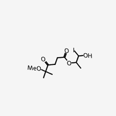 COC(C)(C)C(=O)CCC(=O)OC(C)C(O)I